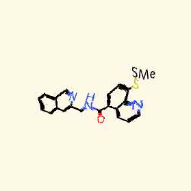 CSSc1ccc(C(=O)NCc2cc3ccccc3cn2)c2cccnc12